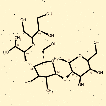 CC1C(O)[C@H](O[C@H](OC(CO)[C@H](O)CO)[C@H](C)O)[C@H](CO)O[C@H]1O[C@@H]1C(O)[C@H](O)C(CO)O[C@@H]1C